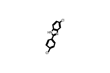 Clc1ccc(-c2nc3cc(Cl)ccc3[nH]2)cc1